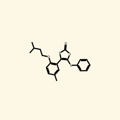 Cc1ccc(OCCC(C)C)c(-c2sc(=O)sc2Sc2ccccc2)c1